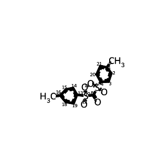 Cc1ccc(S(=O)(=O)C(=O)S(=O)(=O)c2ccc(C)cc2)cc1